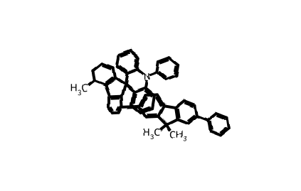 CC1CC=CC2=C1c1cccc(-c3ccc4c(c3)C(C)(C)c3cc(-c5ccccc5)ccc3-4)c1C21c2ccccc2N(c2ccccc2)c2ccccc21